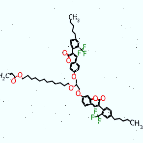 C=CC(=O)OCCCCCCCCCCCCOC(COc1ccc2cc(-c3ccc(CCCCC)cc3C(F)(F)F)c(=O)oc2c1)COc1ccc2cc(-c3ccc(CCCCC)cc3C(F)(F)F)c(=O)oc2c1